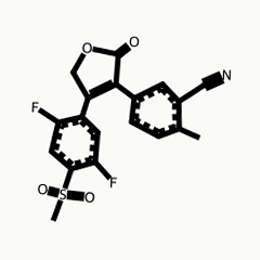 Cc1ccc(C2=C(c3cc(F)c(S(C)(=O)=O)cc3F)COC2=O)cc1C#N